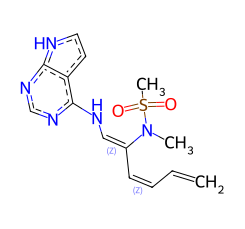 C=C/C=C\C(=C\Nc1ncnc2[nH]ccc12)N(C)S(C)(=O)=O